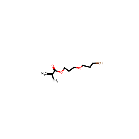 C=C(C)C(=O)OCCCOCCCS